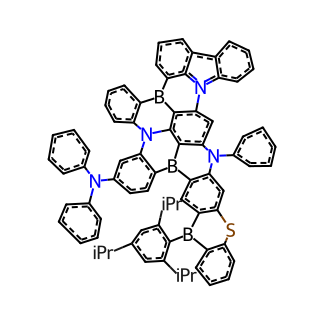 CC(C)c1cc(C(C)C)c(B2c3ccccc3Sc3cc4c(cc32)B2c3ccc(N(c5ccccc5)c5ccccc5)cc3N3c5ccccc5B5c6c(cc(c2c63)N4c2ccccc2)-n2c3ccccc3c3cccc5c32)c(C(C)C)c1